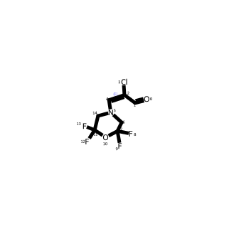 O=C/C(Cl)=C\N1CC(F)(F)OC(F)(F)C1